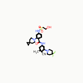 Cc1cc(NC(=O)c2ccc(NS(=O)(=O)CCO)cc2N2CCC3(CC2)CC3)cc(N2CCC(F)(F)CC2)c1C#N